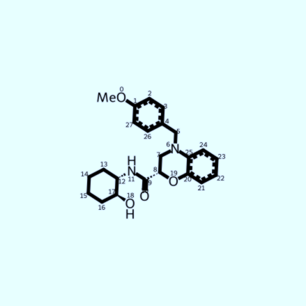 COc1ccc(CN2C[C@@H](C(=O)N[C@H]3CCCC[C@@H]3O)Oc3ccccc32)cc1